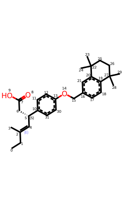 CC/C(C)=C/[C@H](CC(=O)O)c1ccc(OCc2ccc3c(c2)C(C)(C)CCC3(C)C)cc1